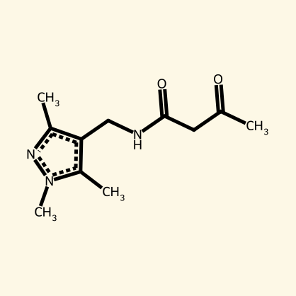 CC(=O)CC(=O)NCc1c(C)nn(C)c1C